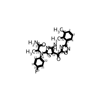 Cc1cccc(-c2noc(C(=O)c3sc(N(c4ccc(F)cc4)C(C)C(N)=O)nc3N)n2)c1C